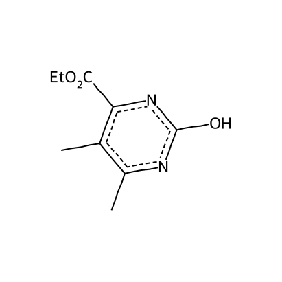 CCOC(=O)c1nc(O)nc(C)c1C